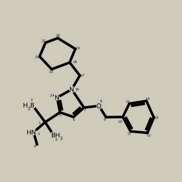 BC(B)(NC)c1cc(OCc2ccccc2)n(CC2CCCCC2)n1